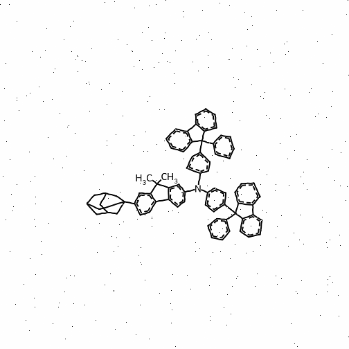 CC1(C)c2cc(N(c3ccc(C4(c5ccccc5)c5ccccc5-c5ccccc54)cc3)c3ccc(C4(c5ccccc5)c5ccccc5-c5ccccc54)cc3)ccc2-c2ccc(C34CC5CC(CC(C5)C3)C4)cc21